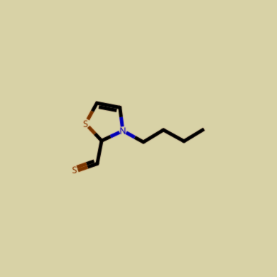 CCCCN1C=CSC1C=S